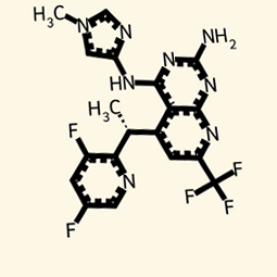 C[C@@H](c1ncc(F)cc1F)c1cc(C(F)(F)F)nc2nc(N)nc(Nc3cn(C)cn3)c12